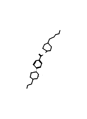 CCCCCC1CCC(OC(=O)c2ccc([C@@H]3CCC(CCC)C[C@H]3C)cc2)CC1